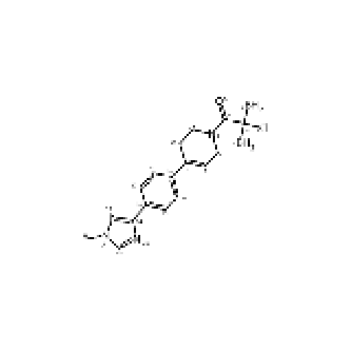 BC(B)(Cl)C(=O)N1CC=C(c2ccc(-c3ncn(C)n3)cc2)CC1